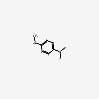 CN(C)c1ccc(SC(F)(F)F)cc1